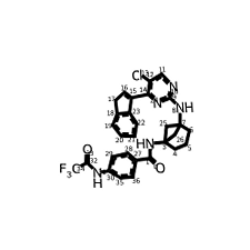 O=C(NC12CCCC(Nc3ncc(Cl)c(C4=CCc5ccccc54)n3)(C1)C2)c1ccc(NC(=O)C(F)(F)F)cc1